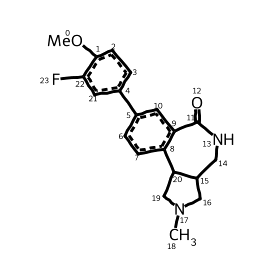 COc1ccc(-c2ccc3c(c2)C(=O)NCC2CN(C)CC32)cc1F